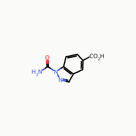 NC(=O)n1ncc2cc(C(=O)O)ccc21